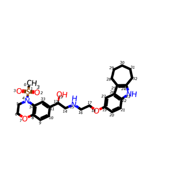 CS(=O)(=O)N1CCOc2ccc([C@@H](O)CNCCOc3ccc4[nH]c5c(c4c3)CCCCC5)cc21